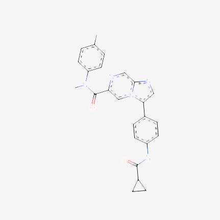 CN(C(=O)c1cn2c(-c3ccc(NC(=O)C4CC4)cc3)cnc2cn1)c1ccc(Cl)cc1